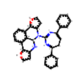 C1=C(c2ccccc2)N=C(N2B3Nc4ccoc4-c4cccc(c43)-c3occc32)N=C(c2ccccc2)C1